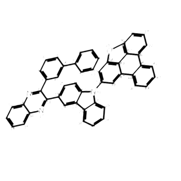 c1ccc(-c2cccc(-c3nc4ccccc4nc3-c3ccc4c(c3)c3ccccc3n4-c3cc4oc5cccc6c7ccccc7c(c3)c4c56)c2)cc1